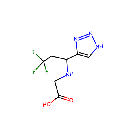 O=C(O)CNC(CC(F)(F)F)c1c[nH]nn1